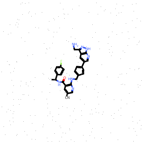 CC(NC(=O)c1cc(C#N)cnc1NCc1ccc(-c2cnc3[nH]nc(CN)c3c2)cc1)c1ccc(F)cc1